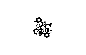 Cc1cccc(-c2sc(C3CC3)nc2C(=O)[C@@H](NC(=O)c2cccc(F)c2Cl)C2CCCCN2)c1